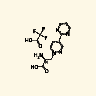 N[C@@H](C[n+]1ccc(-c2ncccn2)cn1)C(=O)O.O=C(O)C(F)(F)F